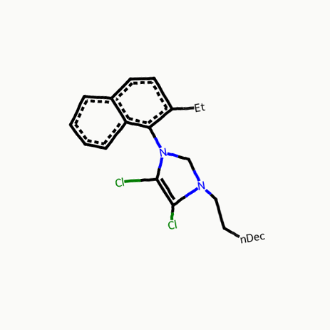 CCCCCCCCCCCCN1CN(c2c(CC)ccc3ccccc23)C(Cl)=C1Cl